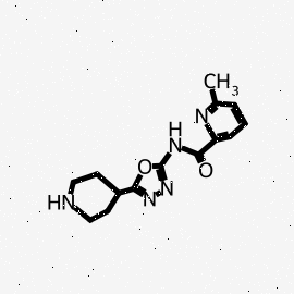 Cc1cccc(C(=O)Nc2nnc(C3CCNCC3)o2)n1